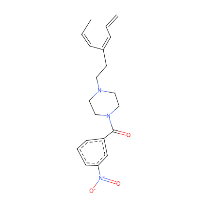 C=C/C=C(\C=C/C)CCN1CCN(C(=O)c2cccc([N+](=O)[O-])c2)CC1